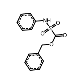 O=C(OCc1ccccc1)S(=O)(=O)Nc1ccccc1